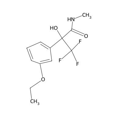 CCOc1cccc(C(O)(C(=O)NC)C(F)(F)F)c1